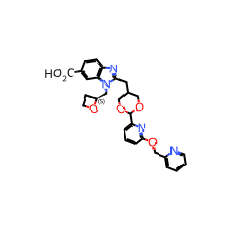 O=C(O)c1ccc2nc(CC3COC(c4cccc(OCc5ccccn5)n4)OC3)n(C[C@@H]3CCO3)c2c1